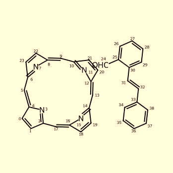 C1=CC2=NC1=CC1=NC(=CC3=NC(=CC4=NC(=C2)C=C4)C=C3)C=C1.O=Cc1ccccc1C=Cc1ccccc1